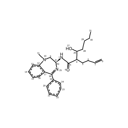 C=CCCC(C(=O)N[C@@H]1CN(C)c2ccccc2C(c2ccccc2)=N1)C(O)CCCC